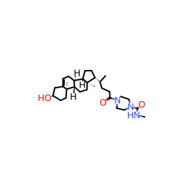 CNC(=O)N1CCN(C(=O)CCC(C)[C@H]2CC[C@H]3[C@@H]4CC=C5C[C@@H](O)CC[C@]5(C)[C@H]4CC[C@]23C)CC1